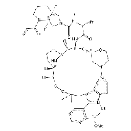 C=CC(=O)N1CCC[C@H]2CN(C(=O)N(C)C(C(=O)N[C@H]3C[C@H]4CN(CCO4)c4ccc5c(c4)c(c(-c4cccnc4[C@H](C)OC)n5CC)CC(C)(C)COC(=O)[C@@H]4CCCN(N4)C3=O)C(C)C)C[C@H]21